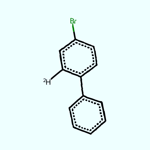 [2H]c1cc(Br)ccc1-c1ccccc1